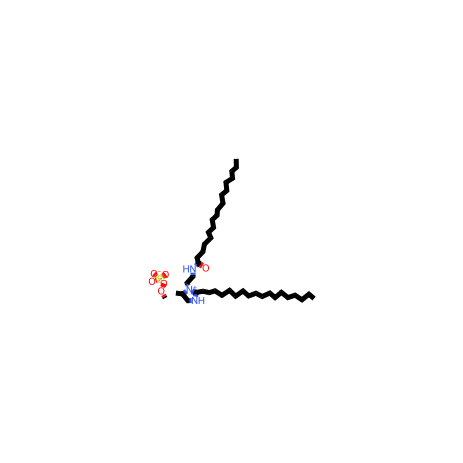 CCCCCCCCCCCCCCCCCCC1=[N+](CCNC(=O)CCCCCCCCCCCCCCCCC)C(C)CN1.COOS(=O)(=O)[O-]